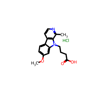 COc1ccc2c3ccnc(C)c3n(CCCC(=O)O)c2c1.Cl